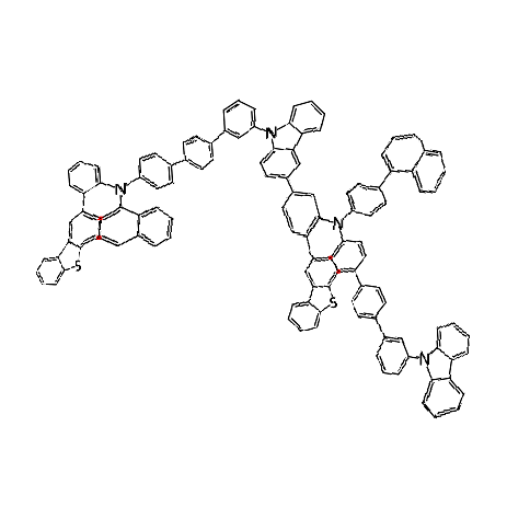 c1cc(-c2ccc(-c3ccc(N(c4ccc(-c5cccc6ccccc56)cc4)c4cc(-c5ccc6c(c5)c5ccccc5n6-c5cccc(-c6ccc(-c7ccc(N(c8ccccc8-c8ccc9sc%10ccccc%10c9c8)c8cccc9ccccc89)cc7)cc6)c5)ccc4-c4ccc5sc6ccccc6c5c4)cc3)cc2)cc(-n2c3ccccc3c3ccccc32)c1